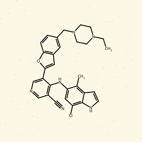 CCN1CCN(Cc2ccc3oc(-c4cncc(C#N)c4Nc4cc(Cl)c5[nH]ccc5c4C)cc3c2)CC1